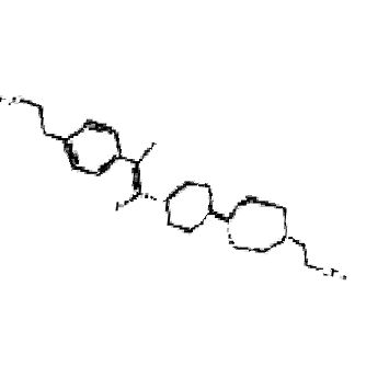 CCCc1ccc(C(F)=C(F)[C@H]2CC[C@H]([C@H]3CC[C@H](CCC)CC3)CC2)cc1